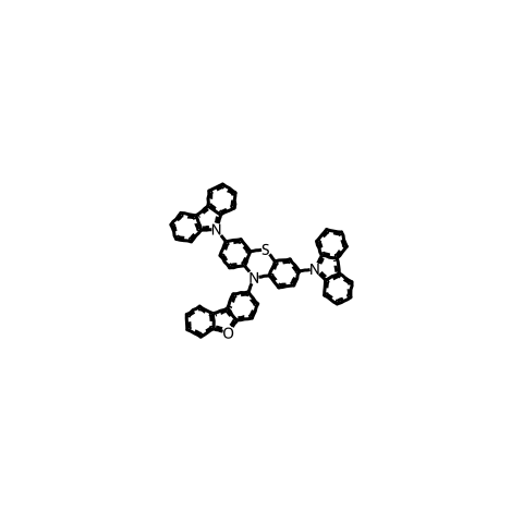 c1ccc2c(c1)oc1ccc(N3c4ccc(-n5c6ccccc6c6ccccc65)cc4Sc4cc(-n5c6ccccc6c6ccccc65)ccc43)cc12